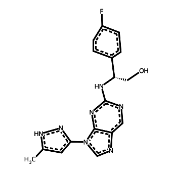 Cc1cc(-n2cnc3cnc(N[C@@H](CO)c4ccc(F)cc4)nc32)n[nH]1